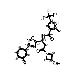 Cn1nc(C(F)(F)F)cc1C(=O)NC(CC(=O)N1CC(O)C1)c1nc(-c2cccc(F)c2)no1